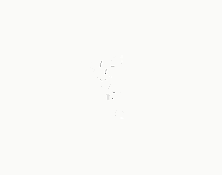 O=C(NCCc1ccccc1)c1ccc2c(c1)N=C(c1ccccc1F)c1ccccc1S2